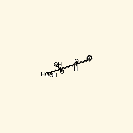 O=C(CCCCCN1CCCCC1)NCCCCCCCC(=O)N(CCO)CCCCC(O)CO